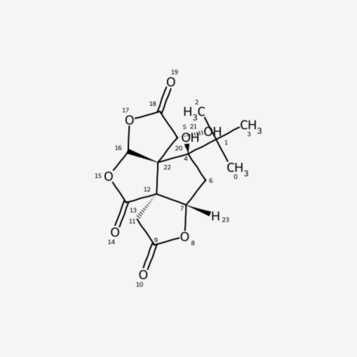 CC(C)(C)[C@]1(O)C[C@@H]2OC(=O)C[C@@]23C(=O)OC2OC(=O)[C@H](O)[C@]213